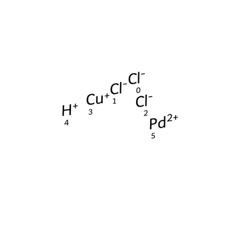 [Cl-].[Cl-].[Cl-].[Cu+].[H+].[Pd+2]